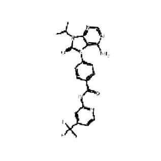 CC(C)n1c(=O)n(-c2ccc(C(=O)Nc3cc(C(F)(F)F)ccn3)cc2)c2c(N)ncnc21